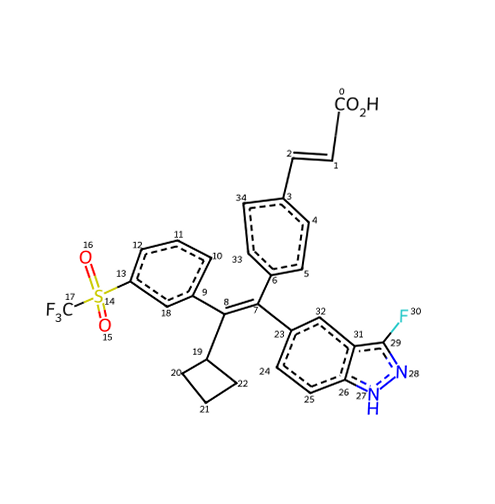 O=C(O)C=Cc1ccc(C(=C(c2cccc(S(=O)(=O)C(F)(F)F)c2)C2CCC2)c2ccc3[nH]nc(F)c3c2)cc1